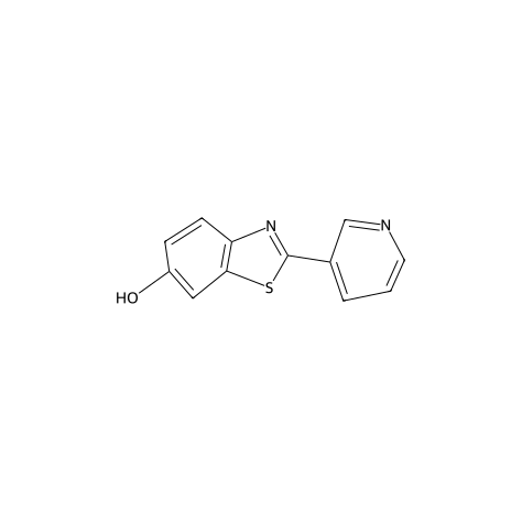 Oc1ccc2nc(-c3cccnc3)sc2c1